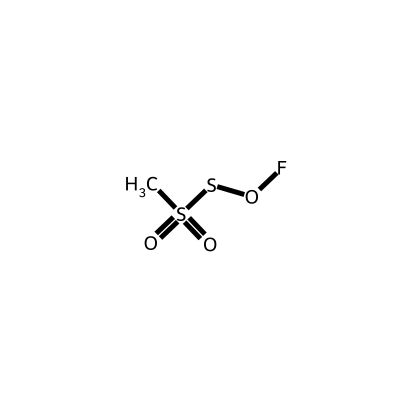 CS(=O)(=O)SOF